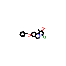 COc1cc(Cl)[n+]2c(c1C)-c1ccc(OCc3ccccc3)cc1CC2